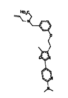 C=CCN(CC(=O)O)Cc1cccc(OCCc2nc(-c3ccc(N(C)C)nc3)oc2C)c1